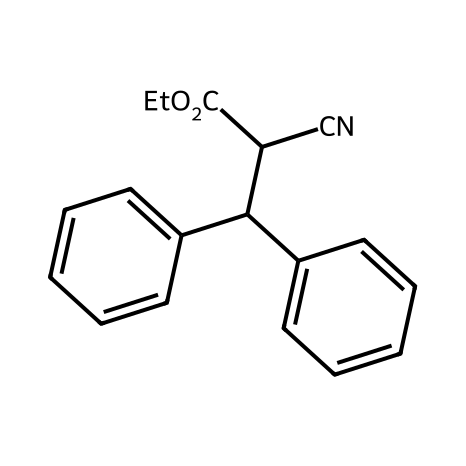 CCOC(=O)C(C#N)C(c1ccccc1)c1ccccc1